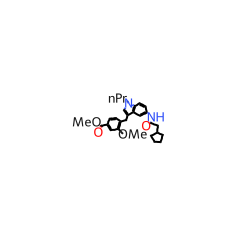 CCCn1cc(Cc2ccc(C(=O)OC)cc2OC)c2cc(NC(=O)CC3CCCC3)ccc21